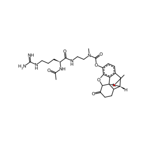 CC(=O)N[C@@H](CCCNC(=N)N)C(=O)NCCN(C)C(=O)Oc1ccc2c3c1OC1C(=O)CCC4[C@@H](C2)N(C)C[C@]314